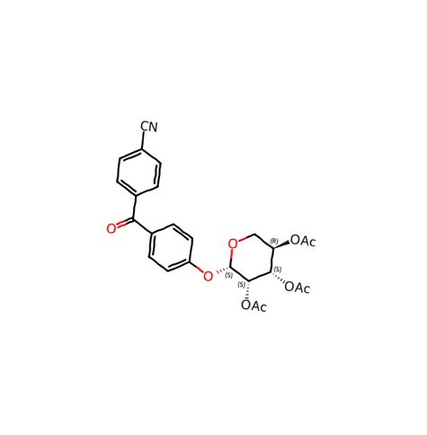 CC(=O)O[C@@H]1[C@H](Oc2ccc(C(=O)c3ccc(C#N)cc3)cc2)OC[C@@H](OC(C)=O)[C@@H]1OC(C)=O